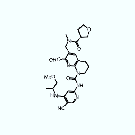 COCC(C)Nc1cc(NC(=O)N2CCCc3cc(CN(C)C(=O)[C@H]4CCOC4)c(C=O)nc32)ncc1C#N